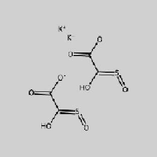 O=S=C(O)C(=O)[O-].O=S=C(O)C(=O)[O-].[K+].[K+]